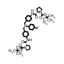 CC(C)(C)OC(=O)N1CCC[C@H]1C(=O)Nc1ccc(CN(Cc2ccc(NC(=O)[C@@H]3CCCN3C(=O)OC(C)(C)C)cc2)c2ccc(F)cc2)cc1